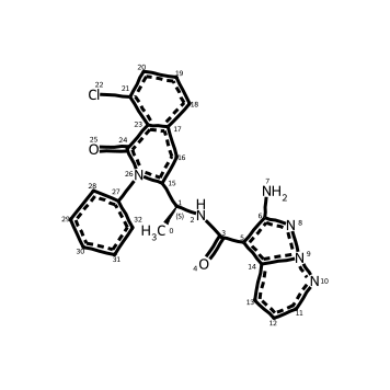 C[C@H](NC(=O)c1c(N)nn2ncccc12)c1cc2cccc(Cl)c2c(=O)n1-c1ccccc1